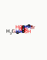 CBCc1ccc(CNc2ccc(O)c3c2C(=O)c2c(O)ccc(NCc4ccc(CBr)cc4)c2C3=O)cc1